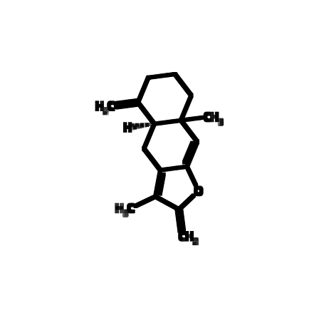 C=C1CCCC2(C)C=c3oc(=C)c(C)c3C[C@@H]12